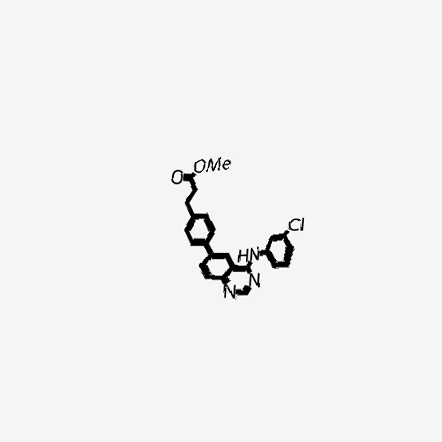 COC(=O)CCc1ccc(-c2ccc3ncnc(Nc4cccc(Cl)c4)c3c2)cc1